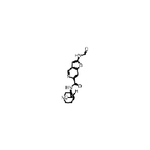 O=CNc1cc2cnc(C(=O)N[C@H]3CN4CCC3CC4)cc2o1